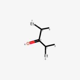 CCC(C)C(=O)C(C)CC